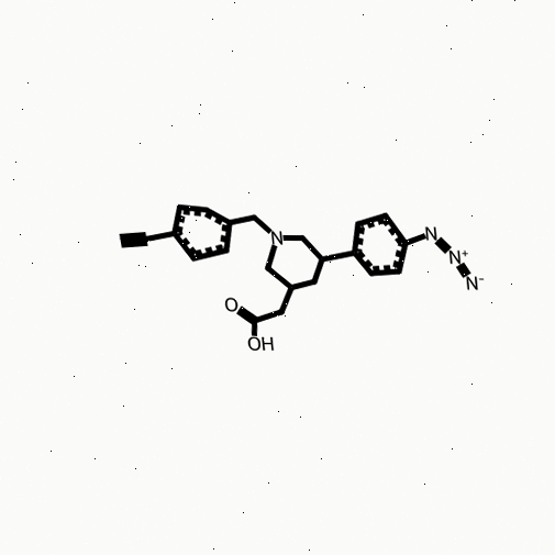 C#Cc1ccc(CN2CC(CC(=O)O)CC(c3ccc(N=[N+]=[N-])cc3)C2)cc1